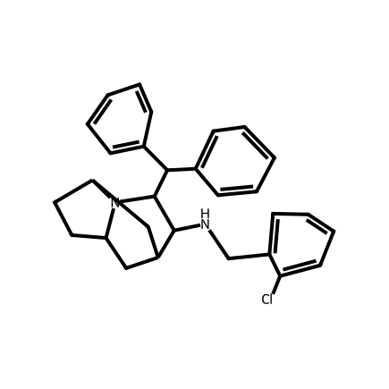 Clc1ccccc1CNC1C2CC3CCC(C2)N3C1C(c1ccccc1)c1ccccc1